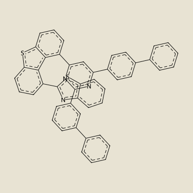 c1ccc(-c2ccc(-c3cc(-c4cccc5sc6cccc(-c7nc8ccccc8s7)c6c45)nc(-c4cccc(-c5ccccc5)c4)n3)cc2)cc1